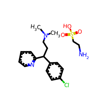 CN(C)CCC(c1ccc(Cl)cc1)c1ccccn1.NCCS(=O)(=O)O